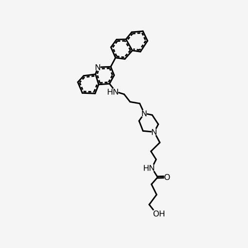 O=C(CCCO)NCCCN1CCN(CCCNc2cc(-c3ccc4ccccc4c3)nc3ccccc23)CC1